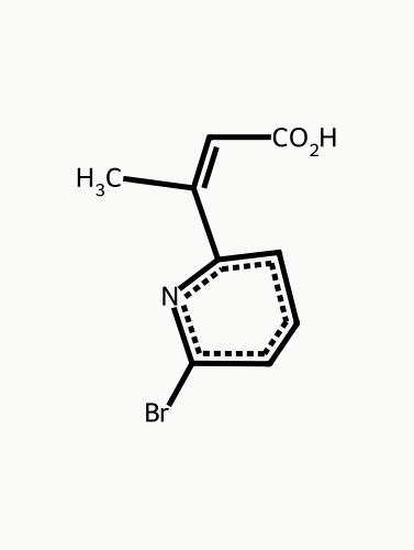 C/C(=C/C(=O)O)c1cccc(Br)n1